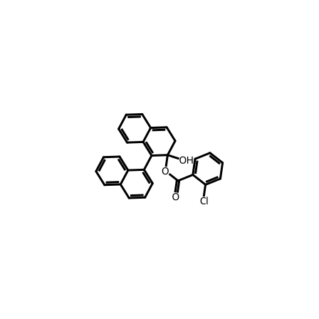 O=C(OC1(O)CC=c2ccccc2=C1c1cccc2ccccc12)c1ccccc1Cl